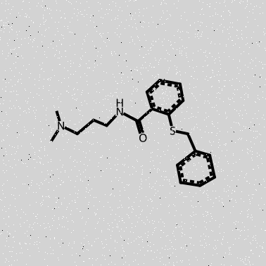 CN(C)CCCNC(=O)c1ccccc1SCc1ccccc1